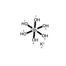 [K+].[OH][Sb-]([OH])([OH])([OH])([OH])[OH]